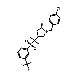 CC(C)(C1CC(=O)N(Cc2ccc(Cl)cc2)C1)S(=O)(=O)c1cccc(C(F)(F)F)c1